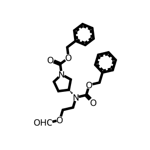 O=COCCN(C(=O)OCc1ccccc1)[C@@H]1CCN(C(=O)OCc2ccccc2)C1